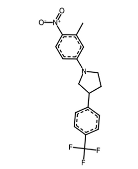 Cc1cc(N2CCC(c3ccc(C(F)(F)F)cc3)C2)ccc1[N+](=O)[O-]